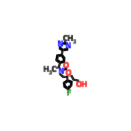 Cc1ncc(-c2ccc([C@H](C)N3CC[C@](CCCO)(c4ccc(F)cc4)OC3=O)cc2)cn1